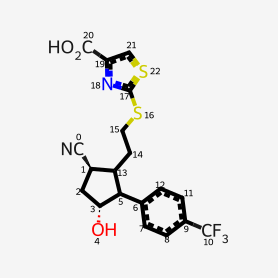 N#C[C@@H]1C[C@@H](O)C(c2ccc(C(F)(F)F)cc2)C1CCSc1nc(C(=O)O)cs1